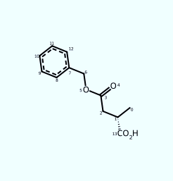 C[C@@H](CC(=O)OCc1ccccc1)C(=O)O